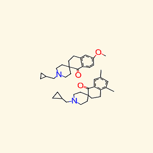 COc1ccc2c(c1)CCC1(CCN(CC3CC3)CC1)C2=O.Cc1cc(C)c2c(c1)C(=O)C1(CC2)CCN(CC2CC2)CC1